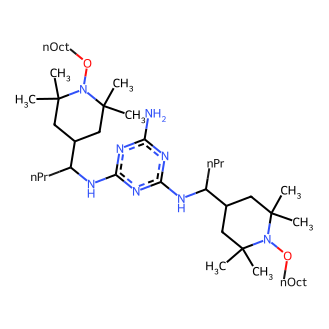 CCCCCCCCON1C(C)(C)CC(C(CCC)Nc2nc(N)nc(NC(CCC)C3CC(C)(C)N(OCCCCCCCC)C(C)(C)C3)n2)CC1(C)C